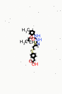 Cc1ccc(NC(=O)Nc2ncc(CCSc3ccc(CC(=O)O)cc3)s2)c(OCC(C)C)c1